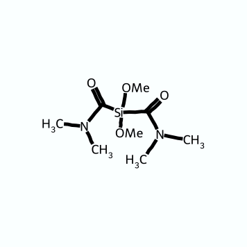 CO[Si](OC)(C(=O)N(C)C)C(=O)N(C)C